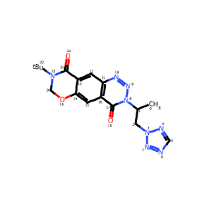 CC(Cn1ncnn1)n1nnc2cc3c(cc2c1=O)OCN(C(C)(C)C)C3=O